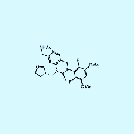 COc1cc(OC)c(F)c(N2Cc3cnc(CNC(C)=O)cc3N(C[C@@H]3CCOC3)C2=O)c1F